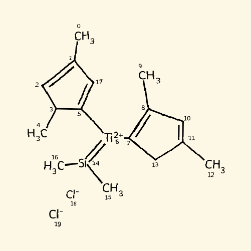 CC1=CC(C)[C]([Ti+2]([C]2=C(C)C=C(C)C2)=[Si](C)C)=C1.[Cl-].[Cl-]